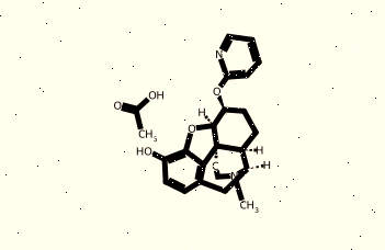 CC(=O)O.CN1CC[C@]23c4c5ccc(O)c4O[C@H]2[C@@H](Oc2ccccn2)CC[C@H]3[C@H]1C5